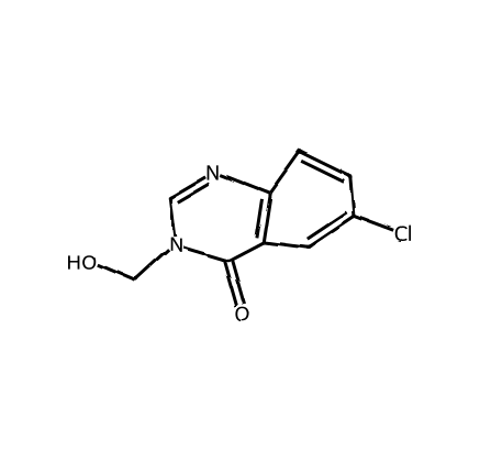 O=c1c2cc(Cl)ccc2ncn1CO